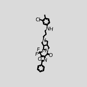 Cc1ccc(NCCCN2CC3CN(C(=O)c4nc(-c5ccccc5)oc4C(F)(F)F)CC3C2)cc1Cl